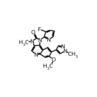 COc1cc2ncc3c(c2cc1-c1cnn(C)c1)n(-c1ncccc1F)c(=O)n3C